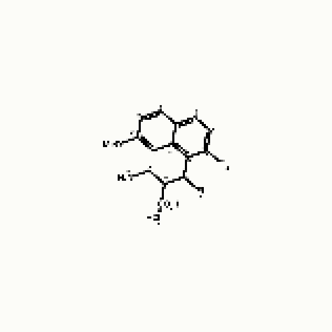 CCC(c1c(F)cnc2ccc(OC)cc12)C(CN)C(=O)O.Cl